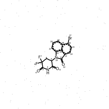 O=C1NC(=O)C(F)(F)CC1N1C(=O)c2ccc(Br)c3cccc1c23